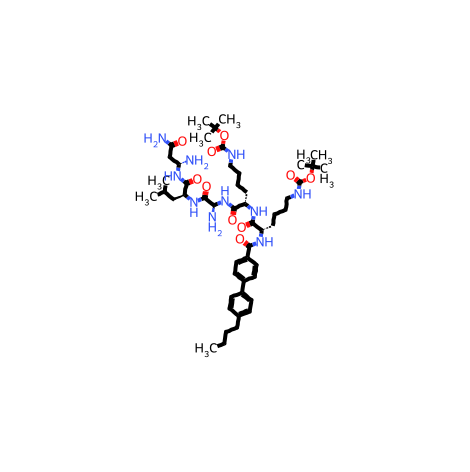 CCCCc1ccc(-c2ccc(C(=O)N[C@@H](CCCCNC(=O)OC(C)(C)C)C(=O)N[C@@H](CCCCNC(=O)OC(C)(C)C)C(=O)N[C@@H](N)C(=O)N[C@@H](CC(C)C)C(=O)N[C@@H](N)CC(N)=O)cc2)cc1